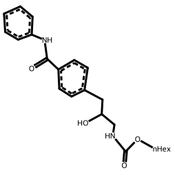 CCCCCCOC(=O)NCC(O)Cc1ccc(C(=O)Nc2ccccc2)cc1